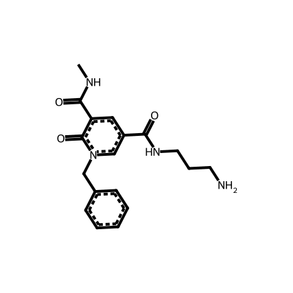 CNC(=O)c1cc(C(=O)NCCCN)cn(Cc2ccccc2)c1=O